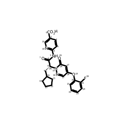 O=C(O)c1ccc(NC(=O)[C@@H](CC2CCCC2)n2ncc(Oc3ccccc3F)cc2=O)nc1